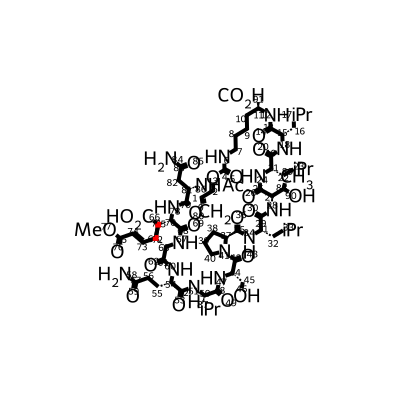 C=CCOC(=O)NCCCC[C@H](NC(=O)[C@H](CC(C)C)NC(=O)[C@H](CC(C)C)NC(=O)[C@@H](NC(=O)[C@H](CC(C)C)NC(=O)[C@@H]1CCCN1C(=O)[C@H](CO)NC(=O)[C@@H](NC(=O)[C@H](CCC(N)=O)NC(=O)[C@H](CCC(=O)O)NC(=O)[C@H](CC/C=C/C(=O)OC)NC(=O)[C@H](CC(N)=O)NC(C)=O)C(C)C)C(C)O)C(=O)O